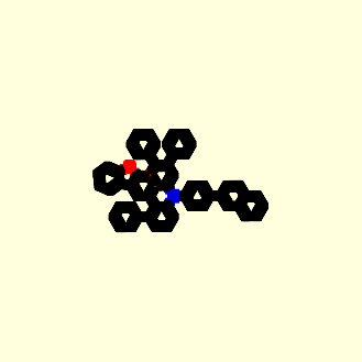 c1ccc(-c2ccc(N(c3ccc(-c4ccc5ccccc5c4)cc3)c3cccc(-c4ccccc4)c3-c3ccc4oc5ccccc5c4c3)cc2-c2ccccc2)cc1